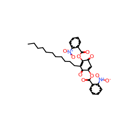 CCCCCCCCCCCC1=C(OC(=O)c2ccccc2[N+](=O)[O-])C(=O)C=C(OC(=O)c2ccccc2[N+](=O)[O-])C1=O